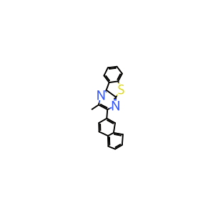 Cc1nc2c(nc1-c1ccc3ccccc3c1)sc1ccccc12